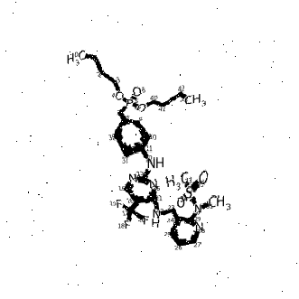 CCCCOP(=O)(Cc1ccc(Nc2ncc(C(F)(F)F)c(NCc3cccnc3N(C)S(C)(=O)=O)n2)cc1)OCCCC